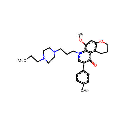 CCCOc1cc2c(c3c(=O)c(-c4ccc(OC)cc4)cn(CCCN4CCN(CCOC)CC4)c13)CCCO2